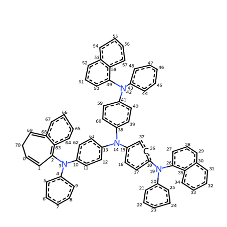 C1=CC(N(c2ccccc2)c2ccc(N(c3ccc(N(c4ccccc4)c4cccc5ccccc45)cc3)c3ccc(N(c4ccccc4)c4cccc5ccccc45)cc3)cc2)=c2ccccc2=CC1